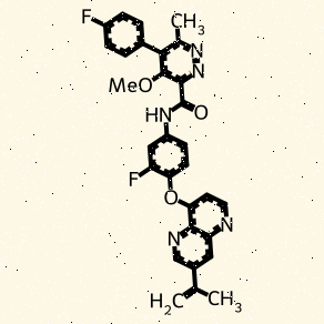 C=C(C)c1cnc2c(Oc3ccc(NC(=O)c4nnc(C)c(-c5ccc(F)cc5)c4OC)cc3F)ccnc2c1